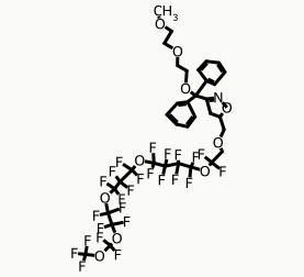 COCCOCCOC(C1=NOC(COCC(F)(F)OC(F)(F)C(F)(F)C(F)(F)C(F)(F)OC(F)(F)C(F)(F)C(F)(F)OC(F)(F)C(F)(F)OC(F)(F)OC(F)(F)F)C1)(c1ccccc1)c1ccccc1